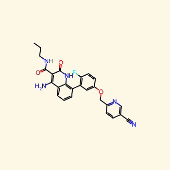 CCCNC(=O)c1c(N)c2cccc(-c3cc(OCc4ccc(C#N)cn4)ccc3F)c2[nH]c1=O